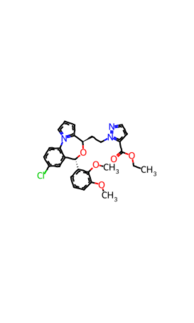 CCOC(=O)c1ccnn1CC[C@H]1O[C@H](c2cccc(OC)c2OC)c2cc(Cl)ccc2-n2cccc21